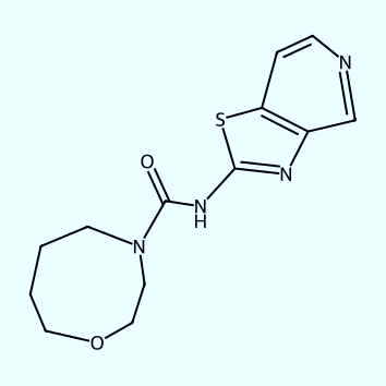 O=C(Nc1nc2cnccc2s1)N1CCCCOCC1